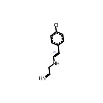 N=CCN/C=C/c1ccc(Cl)cc1